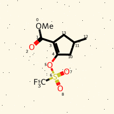 COC(=O)C1=C(OS(=O)(=O)C(F)(F)F)CC(C)C1